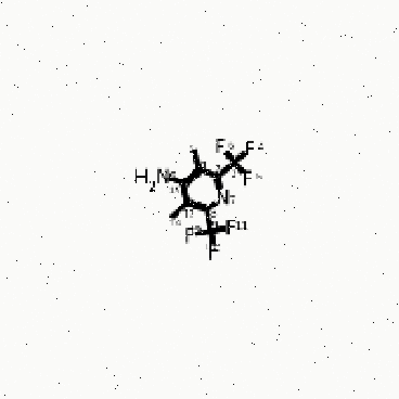 Cc1c(C(F)(F)F)nc(C(F)(F)F)c(C)c1N